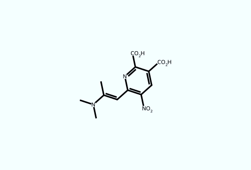 C/C(=C\c1nc(C(=O)O)c(C(=O)O)cc1[N+](=O)[O-])N(C)C